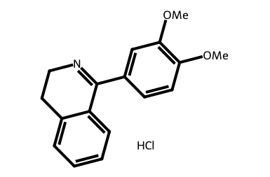 COc1ccc(C2=NCCc3ccccc32)cc1OC.Cl